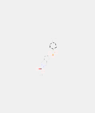 Cc1ccc(S(=O)(=O)OC2CC3CN(C(=O)OC(C)(C)C)CC3C2)cc1